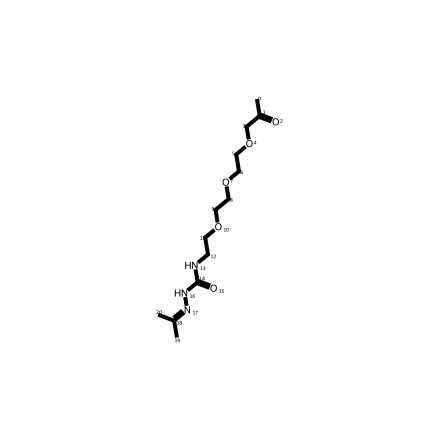 CC(=O)COCCOCCOCCNC(=O)NN=C(C)C